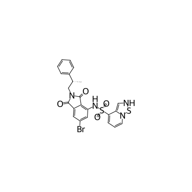 C[C@H](CN1C(=O)c2cc(Br)cc(NS(=O)(=O)C3=CC=CN4SNC=C34)c2C1=O)c1ccccc1